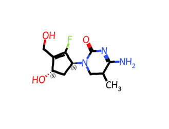 CC1CN([C@H]2C[C@H](O)C(CO)=C2F)C(=O)N=C1N